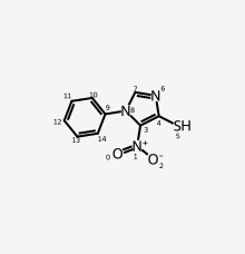 O=[N+]([O-])c1c(S)ncn1-c1ccccc1